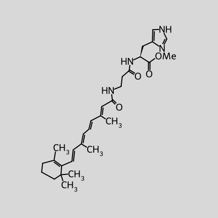 COC(=O)[C@H](Cc1c[nH]cn1)NC(=O)CCNC(=O)/C=C(C)/C=C/C=C(C)/C=C/C1=C(C)CCCC1(C)C